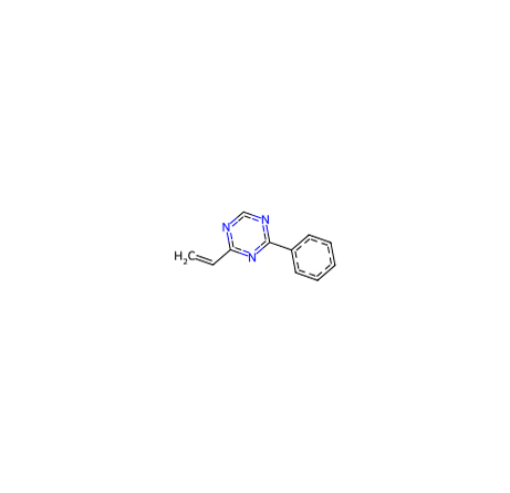 C=Cc1ncnc(-c2ccccc2)n1